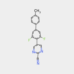 Cc1ccc(-c2cc(F)c(-c3cnc(C#N)nc3)c(F)c2)cc1